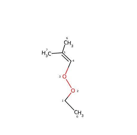 CCOOC=C(C)C